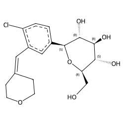 OC[C@H]1O[C@@H](c2ccc(Cl)c(C=C3CCOCC3)c2)[C@H](O)[C@@H](O)[C@@H]1O